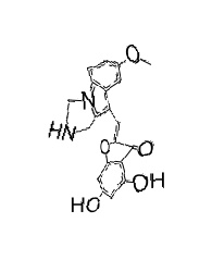 COc1ccc2c(c1)c(C=C1Oc3cc(O)cc(O)c3C1=O)c1n2CCNC1